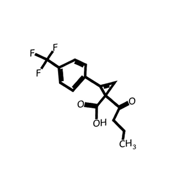 CCCC(=O)C1(C(=O)O)C=C1c1ccc(C(F)(F)F)cc1